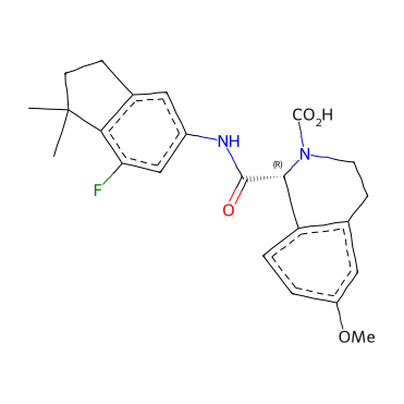 COc1ccc2c(c1)CCN(C(=O)O)[C@H]2C(=O)Nc1cc(F)c2c(c1)CCC2(C)C